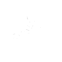 CN1CCc2ccc(Nc3nccc(-c4cc(C#N)c5c(c4)[C@@](C)(CO[Si](C)(C)C(C)(C)C)CN5)n3)cc2C1